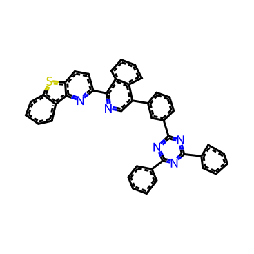 c1ccc(-c2nc(-c3ccccc3)nc(-c3cccc(-c4cnc(-c5ccc6sc7ccccc7c6n5)c5ccccc45)c3)n2)cc1